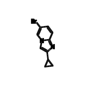 Brc1ccc2nc(C3CC3)cn2c1